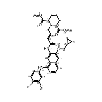 COC(=O)[C@H]1CCC[C@@H](C(=O)OC)N1CC=CC(=O)Nc1cc2c(Nc3ccc(F)c(Cl)c3)ncnc2cc1OCC1CC1